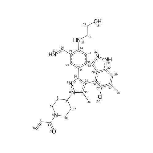 C=CC(=O)N1CCC(n2nc(-c3ccc(NCCO)c(C=N)c3)c(-c3c(Cl)c(C)cc4[nH]ncc34)c2C)CC1